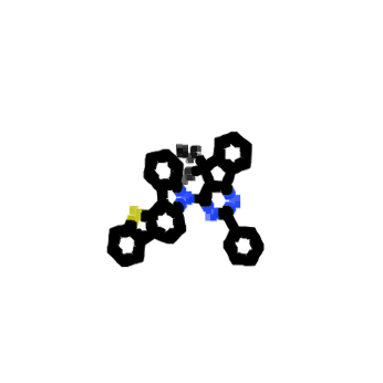 CC1(C)c2ccccc2-c2nc(-c3ccccc3)nc(-n3c4ccccc4c4c5sc6ccccc6c5ccc43)c21